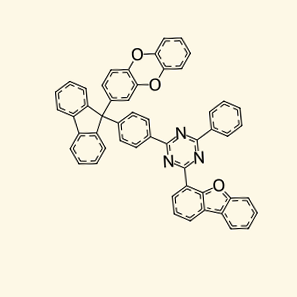 c1ccc(-c2nc(-c3ccc(C4(c5ccc6c(c5)Oc5ccccc5O6)c5ccccc5-c5ccccc54)cc3)nc(-c3cccc4c3oc3ccccc34)n2)cc1